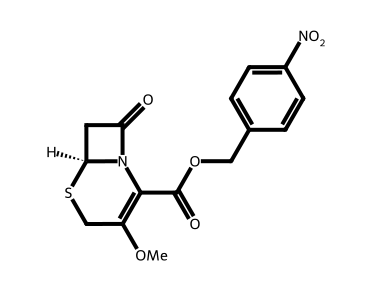 COC1=C(C(=O)OCc2ccc([N+](=O)[O-])cc2)N2C(=O)C[C@@H]2SC1